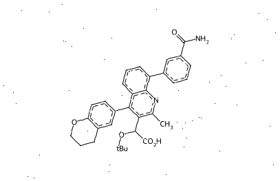 Cc1nc2c(-c3cccc(C(N)=O)c3)cccc2c(-c2ccc3c(c2)CCCO3)c1C(OC(C)(C)C)C(=O)O